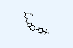 CC(N)CCCn1cc2c(n1)CCN(c1ncc(C(F)(F)F)cn1)C2